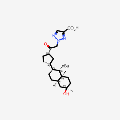 CCCC[C@H]1[C@H]([C@@H]2CC[C@H](C(=O)Cn3ncc(C(=O)O)n3)C2)CC[C@@H]2C[C@](C)(O)CC[C@@]21C